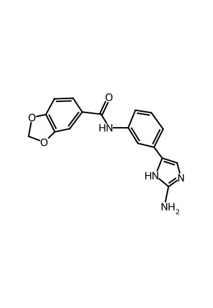 Nc1ncc(-c2cccc(NC(=O)c3ccc4c(c3)OCO4)c2)[nH]1